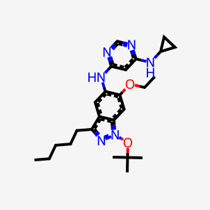 CCCCCc1nn(OC(C)(C)C)c2cc(OCC)c(Nc3cc(NC4CC4)ncn3)cc12